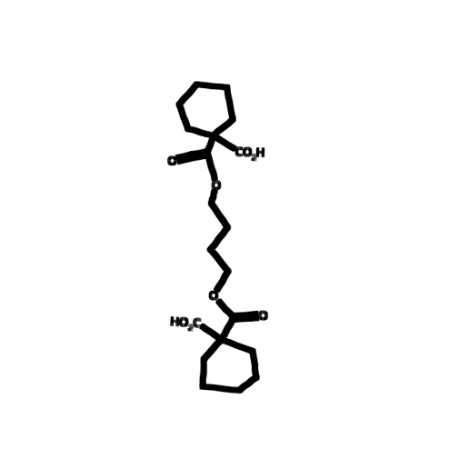 O=C(O)C1(C(=O)OCCCCOC(=O)C2(C(=O)O)CCCCC2)CCCCC1